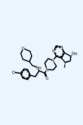 C[C@@H]1C[C@@H](O)c2ncnc(N3CCN(C(=O)C(Cc4ccc(Cl)cc4)NCC4CCOCC4)CC3)c21